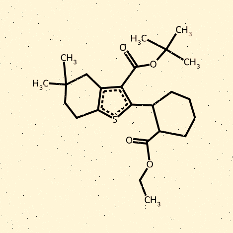 CCOC(=O)C1CCCCC1c1sc2c(c1C(=O)OC(C)(C)C)CC(C)(C)CC2